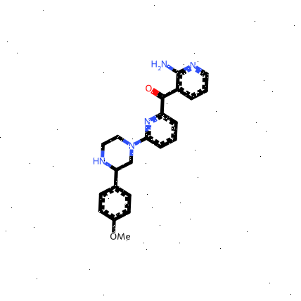 COc1ccc(C2CN(c3cccc(C(=O)c4cccnc4N)n3)CCN2)cc1